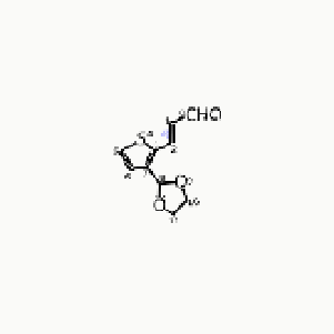 O=C/C=C/c1sccc1C1OCCO1